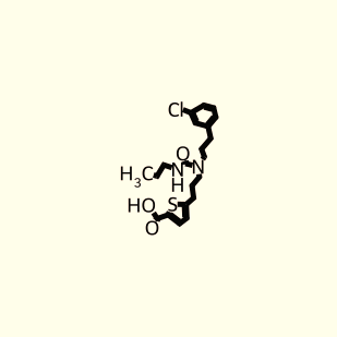 CCCNC(=O)N(CCCc1cccc(Cl)c1)CCCc1ccc(C(=O)O)s1